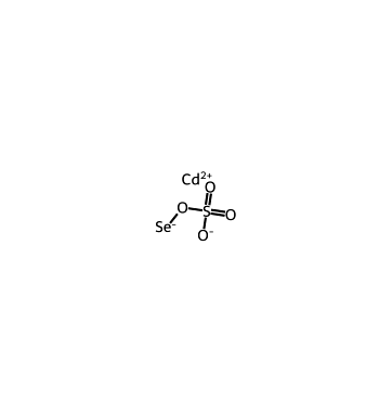 O=S(=O)([O-])O[Se-].[Cd+2]